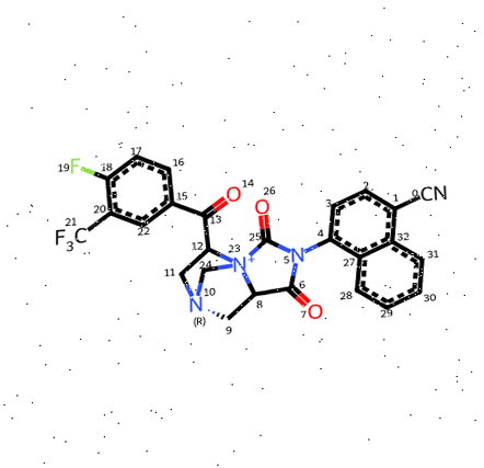 N#Cc1ccc(N2C(=O)C3C[N@]4CC(C(=O)c5ccc(F)c(C(F)(F)F)c5)[N+]3(C4)C2=O)c2ccccc12